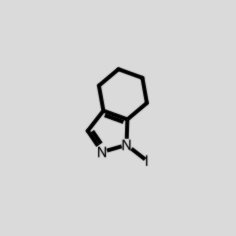 In1ncc2c1CCCC2